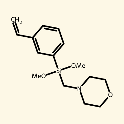 C=Cc1cccc([Si](CN2CCOCC2)(OC)OC)c1